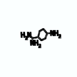 NC1CCC(C(N)N)CC1